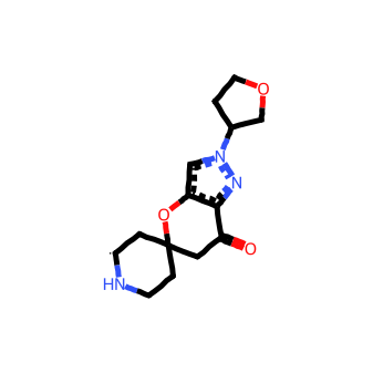 O=C1CC2(C[CH]NCC2)Oc2cn(C3CCOC3)nc21